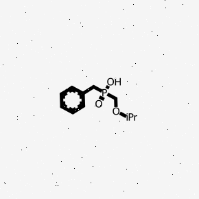 CC(C)OCP(=O)(O)Cc1ccccc1